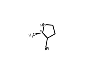 CC(C)C1CCN[C@@H]1C